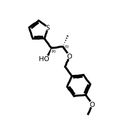 COc1ccc(CO[C@@H](C)[C@@H](O)c2cccs2)cc1